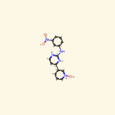 O=[N+]([O-])c1cccc(Nc2nccc(-c3ccc[n+]([O-])c3)n2)c1